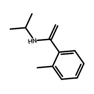 C=C(NC(C)C)c1ccccc1C